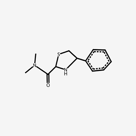 CN(C)C(=O)C1NC(c2ccccc2)CS1